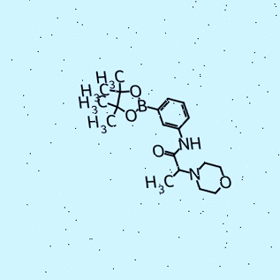 CC(C(=O)Nc1cccc(B2OC(C)(C)C(C)(C)O2)c1)N1CCOCC1